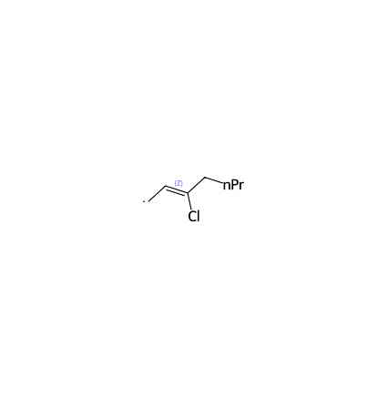 [CH2]/C=C(\Cl)CCCC